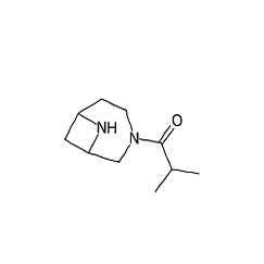 CC(C)C(=O)N1CCC2CC(C1)N2